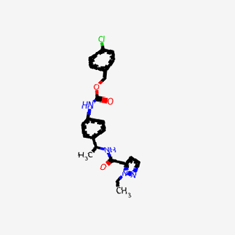 CCn1nccc1C(=O)NC(C)c1ccc(NC(=O)OCc2ccc(Cl)cc2)cc1